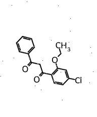 CCOc1cc(Cl)ccc1C(=O)CC(=O)c1ccccc1